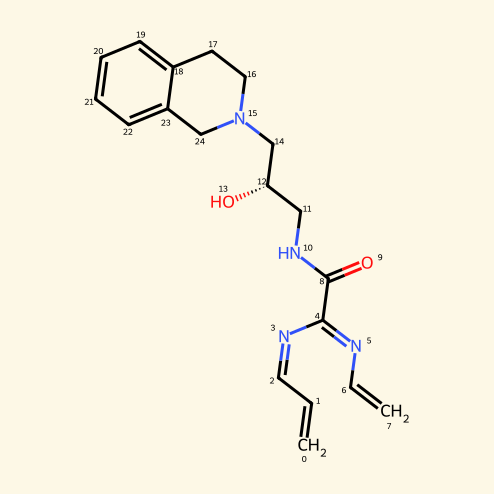 C=C/C=N\C(=N/C=C)C(=O)NC[C@H](O)CN1CCc2ccccc2C1